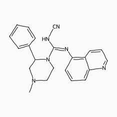 CN1CCN(C(=Nc2cccc3ncccc23)NC#N)C(c2ccccc2)C1